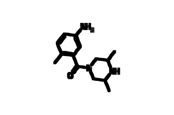 Cc1ccc(N)cc1C(=O)N1CC(C)NC(C)C1